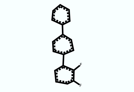 Fc1cccc(-c2ccc(-c3ccccc3)cc2)c1F